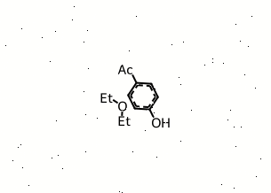 CC(=O)c1ccc(O)cc1.CCOCC